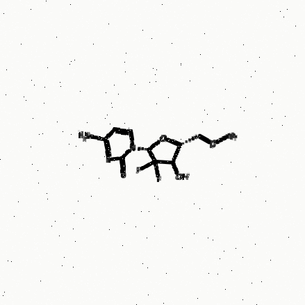 CCCOC[C@H]1O[C@@H](n2ccc(N)nc2=O)C(F)(F)C1O